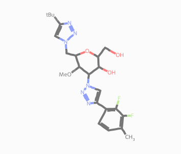 COC1C(Cn2cc(C(C)(C)C)nn2)OC(CO)C(O)C1n1cc(-c2ccc(C)c(F)c2F)nn1